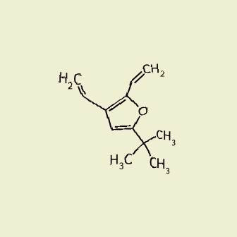 C=Cc1cc(C(C)(C)C)oc1C=C